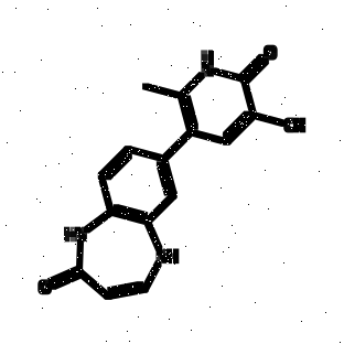 Cc1[nH]c(=O)c(C#N)cc1-c1ccc2c(c1)NC=CC(=O)N2